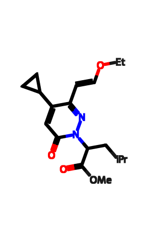 CCOC=Cc1nn(C(CC(C)C)C(=O)OC)c(=O)cc1C1CC1